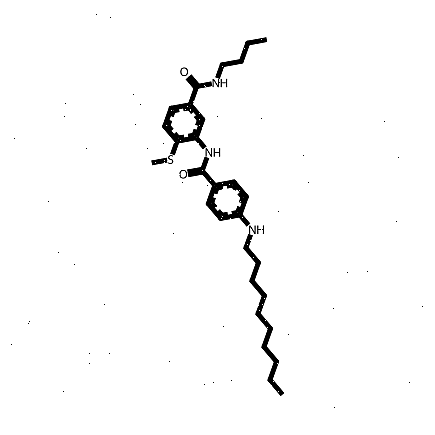 CCCCCCCCCCNc1ccc(C(=O)Nc2cc(C(=O)NCCCC)ccc2SC)cc1